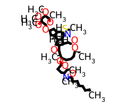 CCCCCCCC(=O)N(C)[C@H]1CCC(O[C@H]2CCC[C@H](CC)OC(=O)C[C@@H]3C(=C[C@H]4[C@@H]5C[C@H](O[C@@H]6OC(C)[C@H](OC)C(OC)C6OC)C[C@H]5c5sc(C)nc5[C@H]43)C(=O)[C@@H]2C)OC1C